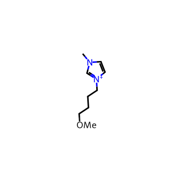 COCCCC[n+]1ccn(C)c1